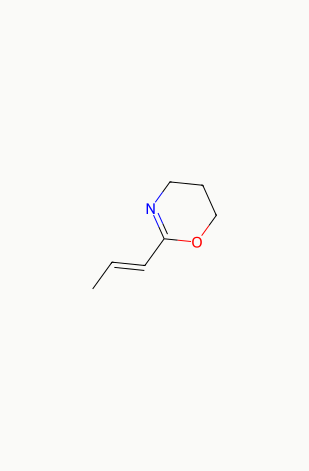 CC=CC1=NCCCO1